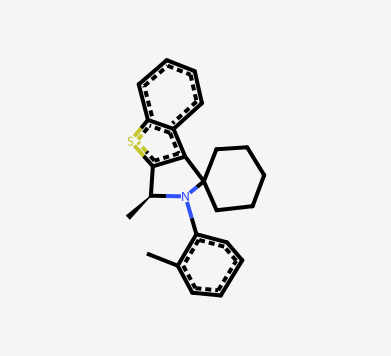 Cc1ccccc1N1[C@@H](C)c2sc3ccccc3c2C12CCCCC2